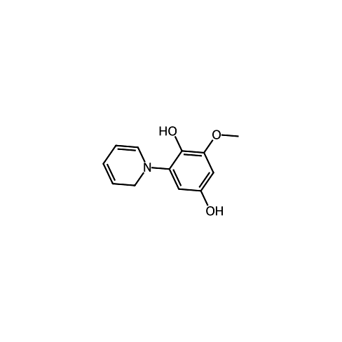 COc1cc(O)cc(N2C=CC=CC2)c1O